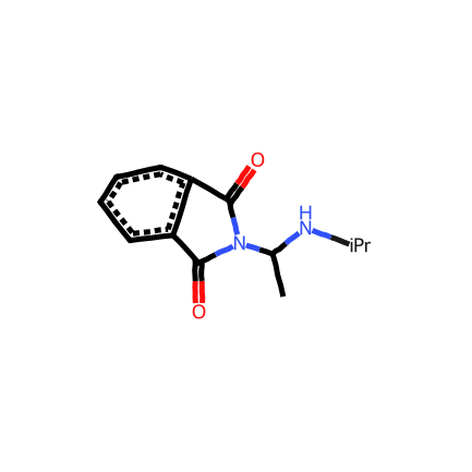 CC(C)NC(C)N1C(=O)c2ccccc2C1=O